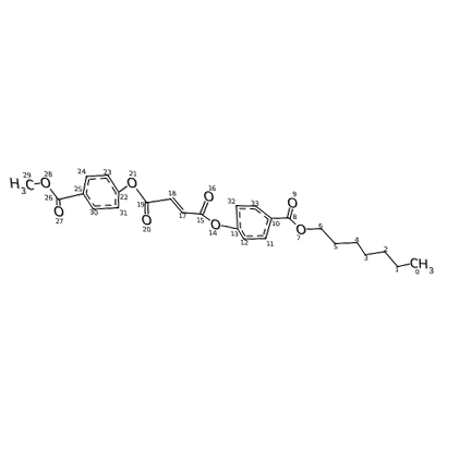 CCCCCCCOC(=O)c1ccc(OC(=O)C=CC(=O)Oc2ccc(C(=O)OC)cc2)cc1